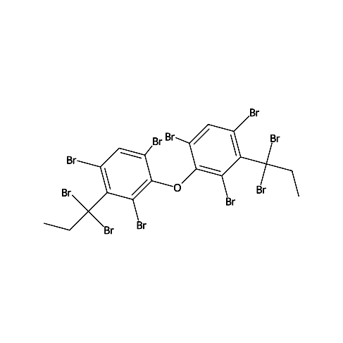 CCC(Br)(Br)c1c(Br)cc(Br)c(Oc2c(Br)cc(Br)c(C(Br)(Br)CC)c2Br)c1Br